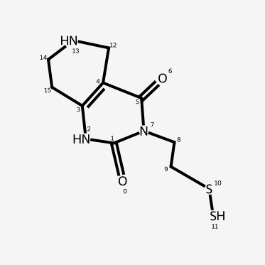 O=c1[nH]c2c(c(=O)n1CCSS)CNCC2